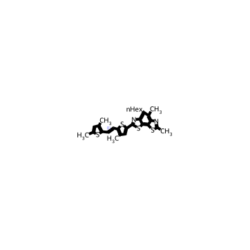 CCCCCCc1c(C)c2nc(C)sc2c2sc(-c3cc(C)c(/C=C/c4sc(C)cc4C)s3)nc12